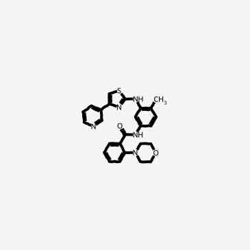 Cc1ccc(NC(=O)c2ccccc2N2CCOCC2)cc1Nc1nc(-c2cccnc2)cs1